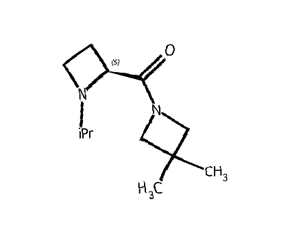 CC(C)N1CC[C@H]1C(=O)N1CC(C)(C)C1